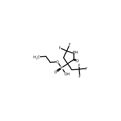 CCCOP(=O)(O)C(CC(F)(F)F)(CC(F)(F)F)C(=O)O